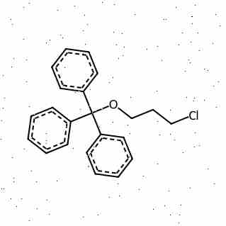 ClCCCOC(c1ccccc1)(c1ccccc1)c1ccccc1